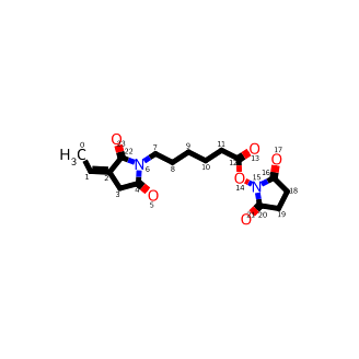 CC=C1CC(=O)N(CCCCCC(=O)ON2C(=O)CCC2=O)C1=O